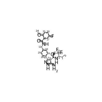 CCC(NC(=O)c1c(-c2ccc(CNC(=O)c3cc(F)ccc3OC)cc2)n[nH]c1N)C(F)(F)F